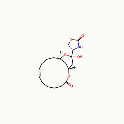 O=C1CCCCC=CCCC[C@@H]2C[C@H](C[C@](O)([C@@H]3CSC(=O)N3)O2)O1